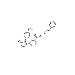 Cc1ccc(-n2c(-c3cccc(C(=O)NCCCCc4ccccc4)c3)csc2=O)cc1